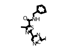 Cc1nc(-c2cncc(I)n2)sc1C(=O)NCc1ccccc1